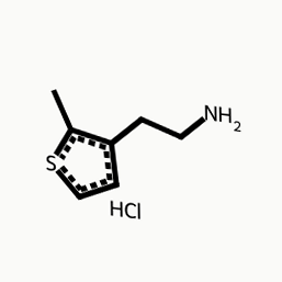 Cc1sccc1CCN.Cl